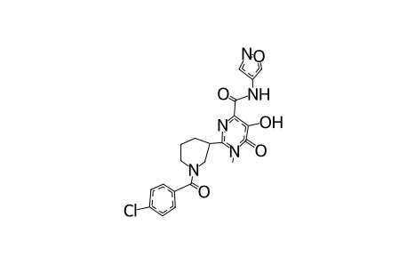 Cn1c(C2CCCN(C(=O)c3ccc(Cl)cc3)C2)nc(C(=O)Nc2cnoc2)c(O)c1=O